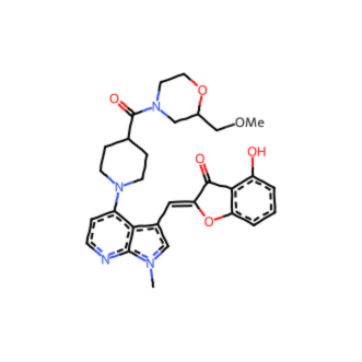 COCC1CN(C(=O)C2CCN(c3ccnc4c3c(/C=C3\Oc5cccc(O)c5C3=O)cn4C)CC2)CCO1